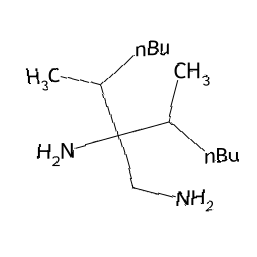 CCCCC(C)C(N)(CN)C(C)CCCC